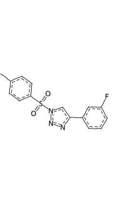 Cc1ccc(S(=O)(=O)n2cc(-c3cccc(F)c3)nn2)cc1